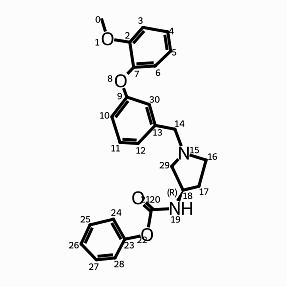 COc1ccccc1Oc1cccc(CN2CC[C@@H](NC(=O)Oc3ccccc3)C2)c1